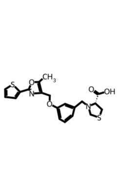 Cc1oc(-c2cccs2)nc1COc1cccc(CN2CSC[C@H]2C(=O)O)c1